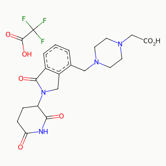 O=C(O)C(F)(F)F.O=C(O)CN1CCN(Cc2cccc3c2CN(C2CCC(=O)NC2=O)C3=O)CC1